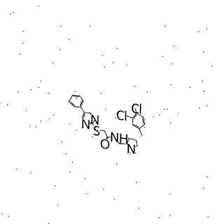 CN1C[C@@H](Cc2ccc(Cl)c(Cl)c2)C[C@@H]1CNC(=O)CSc1ncc(-c2ccccc2)cn1